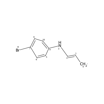 [CH2]/C=C/Nc1ccc(Br)cc1